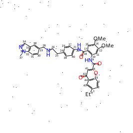 CCc1ccc2oc(C(=O)Nc3cc(OC)c(OC)cc3C(=O)Nc3ccc(CCNCc4ccc5c(cnn5C)c4)cc3)cc(=O)c2c1